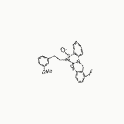 COc1cccc(CCN2C(=O)N(Cc3c(F)cccc3F)c3ccccc3[S+]2[O-])c1